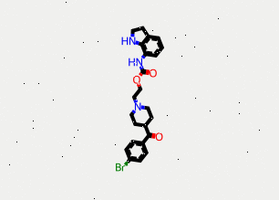 O=C(Nc1cccc2c1NCC2)OCCN1CCC(C(=O)c2ccc(Br)cc2)CC1